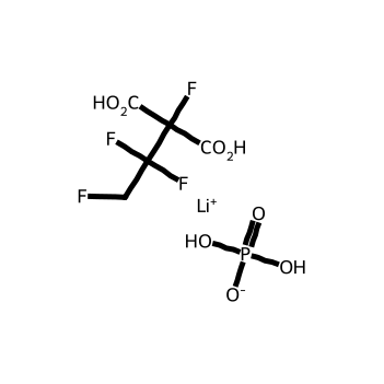 O=C(O)C(F)(C(=O)O)C(F)(F)CF.O=P([O-])(O)O.[Li+]